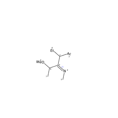 CCC(C(C)=O)/C(=N/C)C(C)OC